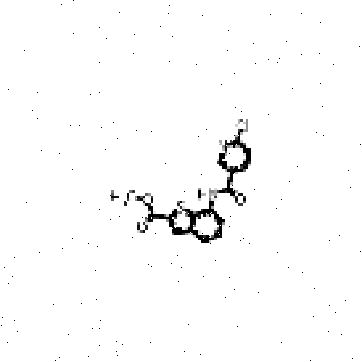 COC(=O)c1cc2cccc(NC(=O)c3ccc(Cl)nc3)c2s1